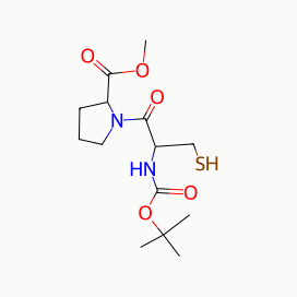 COC(=O)C1CCCN1C(=O)C(CS)NC(=O)OC(C)(C)C